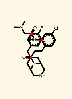 CN(C)CC(=O)Nc1cc(Cl)ccc1/C=C/C(=O)N1C2CNCC1CN(Cc1ccc(F)cc1)C2